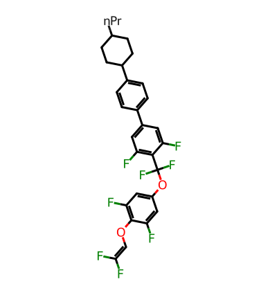 CCCC1CCC(c2ccc(-c3cc(F)c(C(F)(F)Oc4cc(F)c(OC=C(F)F)c(F)c4)c(F)c3)cc2)CC1